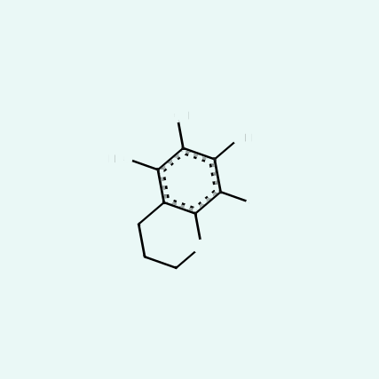 Cc1c(C)c(C)c2c(c1C)CCCO2